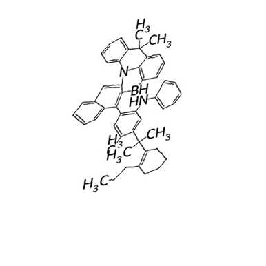 CCCC1=C(C(C)(C)c2cc(Nc3ccccc3)c(-c3c4c(cc5ccccc35)N3c5ccccc5C(C)(C)c5cccc(c53)B4)cc2C)CCCC1